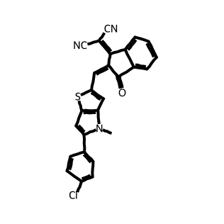 Cn1c(-c2ccc(Cl)cc2)cc2sc(/C=C3\C(=O)c4ccccc4C3=C(C#N)C#N)cc21